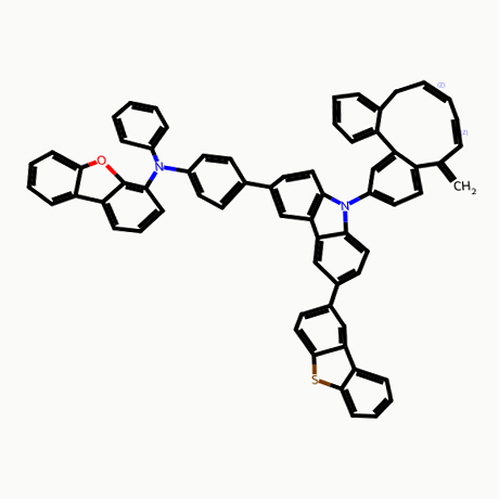 C=C1/C=C\C=C/Cc2ccccc2-c2cc(-n3c4ccc(-c5ccc(N(c6ccccc6)c6cccc7c6oc6ccccc67)cc5)cc4c4cc(-c5ccc6sc7ccccc7c6c5)ccc43)ccc21